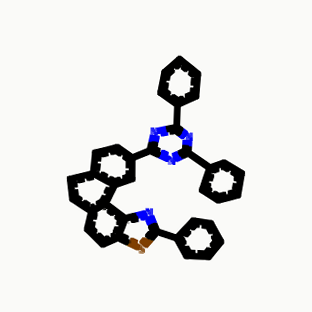 c1ccc(-c2nc(-c3ccccc3)nc(-c3ccc4ccc5ccc6sc(-c7ccccc7)nc6c5c4c3)n2)cc1